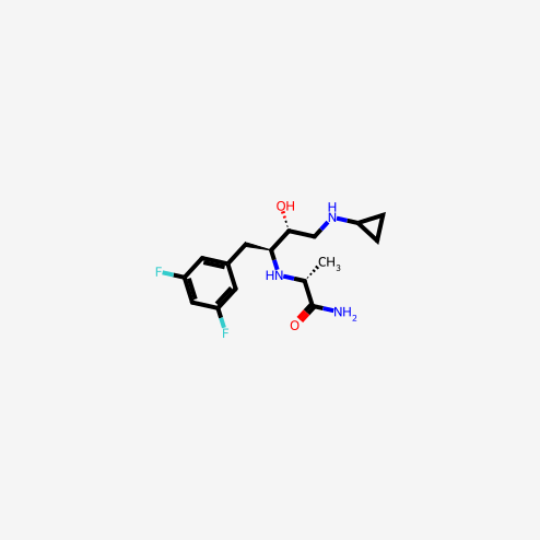 C[C@@H](N[C@@H](Cc1cc(F)cc(F)c1)[C@H](O)CNC1CC1)C(N)=O